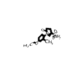 CCOc1ccc(-n2cc(S(N)(=O)=O)ccc2=O)c(C)c1